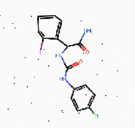 NC(=O)C(NC(=O)Nc1ccc(Cl)cc1)c1ccccc1I